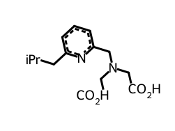 CC(C)Cc1cccc(CN(CC(=O)O)CC(=O)O)n1